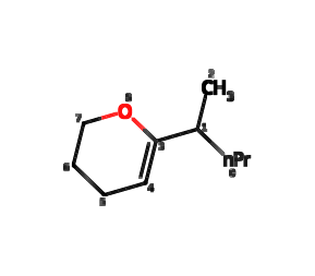 CCCC(C)C1=CCCCO1